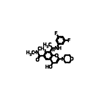 C[C@@H](Nc1cc(F)cc(F)c1)c1cc(C(=O)N(C)C)cc2c1OC(N1CCOCC1)=CC2O